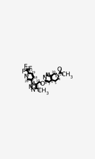 CC(=O)N1CCc2cc(OCc3c(C)nnn3-c3ccc(C(F)(F)F)nc3)nnc2C1